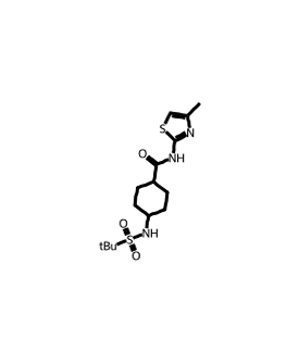 Cc1csc(NC(=O)C2CCC(NS(=O)(=O)C(C)(C)C)CC2)n1